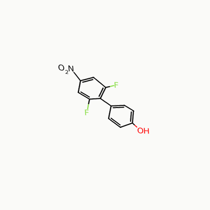 O=[N+]([O-])c1cc(F)c(-c2ccc(O)cc2)c(F)c1